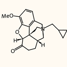 COc1ccc2c3c1O[C@H]1C(=O)CC[C@H]4C(C2)N(CC2CC2)CC[C@]314